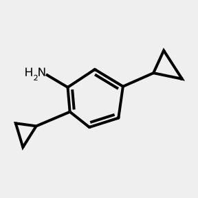 Nc1cc(C2CC2)ccc1C1CC1